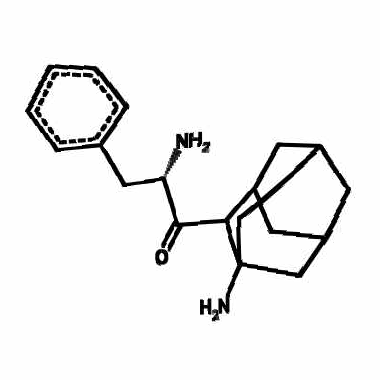 N[C@@H](Cc1ccccc1)C(=O)C1C2CC3CC(C2)CC1(N)C3